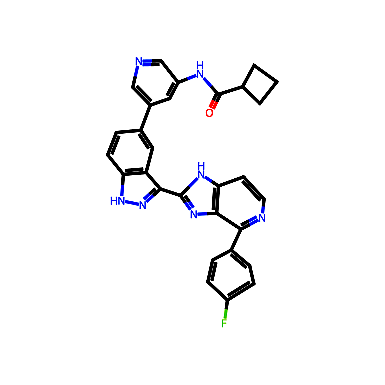 O=C(Nc1cncc(-c2ccc3[nH]nc(-c4nc5c(-c6ccc(F)cc6)nccc5[nH]4)c3c2)c1)C1CCC1